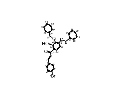 O=C(C=Cc1ccc(Br)cc1)c1ccc(OCc2ccccc2)c(OCc2ccccc2)c1O